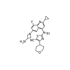 CCN(c1nc(C2CCOCC2)c(C#N)s1)c1cc(C2CC2)nc2c(F)cc(N3CC(N)C3)cc12